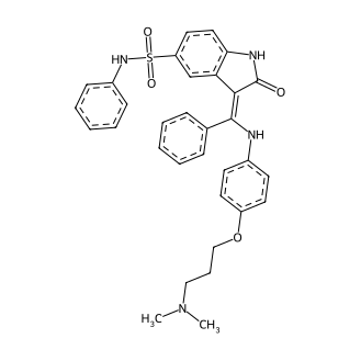 CN(C)CCCOc1ccc(N/C(=C2\C(=O)Nc3ccc(S(=O)(=O)Nc4ccccc4)cc32)c2ccccc2)cc1